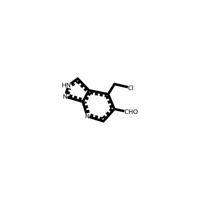 O=Cc1cnc2n[nH]cc2c1CCl